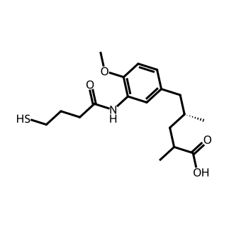 COc1ccc(C[C@H](C)CC(C)C(=O)O)cc1NC(=O)CCCS